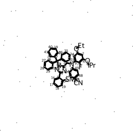 CCOc1cc(OC(C)C)c(F)c(N(Cc2nc(-c3ccccc3SC)nn2C(c2ccccc2)(c2ccccc2)c2ccccc2)c2ccc(C#N)cc2)c1